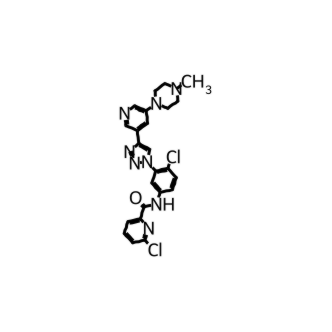 CN1CCN(c2cncc(-c3cn(-c4cc(NC(=O)c5cccc(Cl)n5)ccc4Cl)nn3)c2)CC1